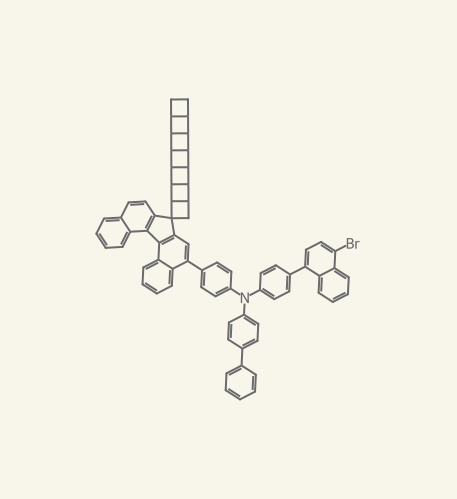 Brc1ccc(-c2ccc(N(c3ccc(-c4ccccc4)cc3)c3ccc(-c4cc5c(c6ccccc46)-c4c(ccc6ccccc46)C54CC5C6C7C8C9C%10CCC%10C9C8C7C6C54)cc3)cc2)c2ccccc12